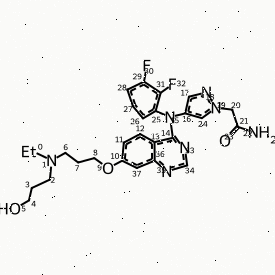 CCN(CCCO)CCCOc1ccc2c(N(c3cnn(CC(N)=O)c3)c3cccc(F)c3F)ncnc2c1